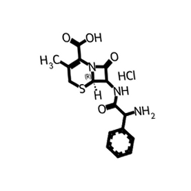 CC1=C(C(=O)O)N2C(=O)C(NC(=O)C(N)c3ccccc3)[C@H]2SC1.Cl